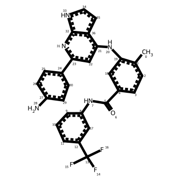 Cc1ccc(C(=O)Nc2cccc(C(F)(F)F)c2)cc1Nc1cc(-c2ccc(N)cc2)nc2[nH]ccc12